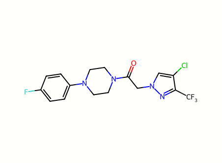 O=C(Cn1cc(Cl)c(C(F)(F)F)n1)N1CCN(c2ccc(F)cc2)CC1